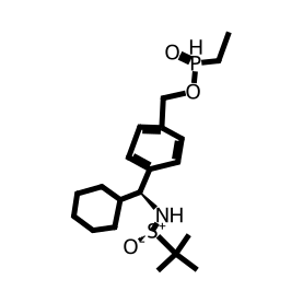 CC[PH](=O)OCc1ccc([C@@H](N[S@@+]([O-])C(C)(C)C)C2CCCCC2)cc1